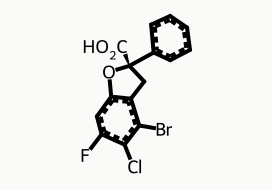 O=C(O)[C@@]1(c2ccccc2)Cc2c(cc(F)c(Cl)c2Br)O1